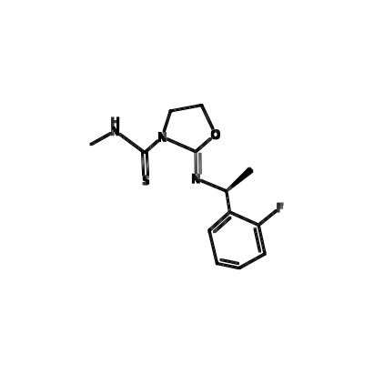 CNC(=S)N1CCO/C1=N\[C@@H](C)c1ccccc1F